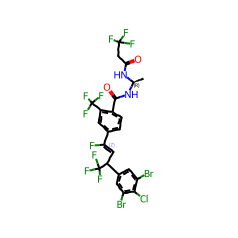 C[C@H](NC(=O)CC(F)(F)F)NC(=O)c1ccc(/C(F)=C/C(c2cc(Br)c(Cl)c(Br)c2)C(F)(F)F)cc1C(F)(F)F